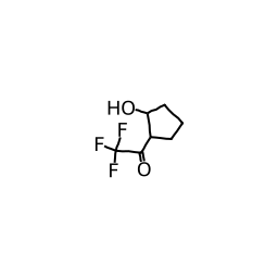 O=C(C1CCCC1O)C(F)(F)F